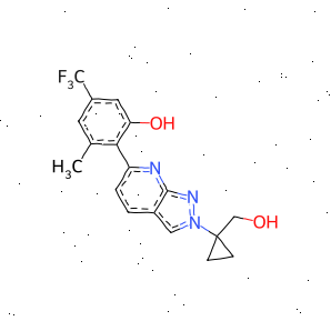 Cc1cc(C(F)(F)F)cc(O)c1-c1ccc2cn(C3(CO)CC3)nc2n1